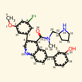 COc1cc(F)cc(-c2cnc3ccc(-c4cccc(O)c4)cc3c2C(=O)N(C)C[C@@H]2CCCN2)c1